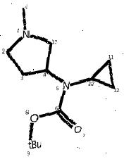 CN1CCC(N(C(=O)OC(C)(C)C)C2CC2)C1